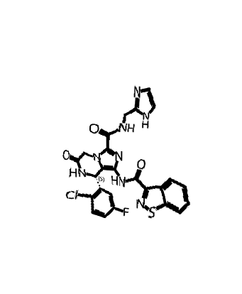 O=C1Cn2c(C(=O)NCc3ncc[nH]3)nc(NC(=O)c3nsc4ccccc34)c2[C@H](c2cc(F)ccc2Cl)N1